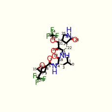 CC(C)C[C@H](NC(=O)C12CC(C(F)(F)F)(CO1)C2)C(=O)N[C@@H](C[C@@H]1CCNC1=O)C(=O)COC(F)(F)F